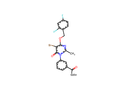 CNC(=O)c1cccc(-n2c(C)nc(OCc3ccc(F)cc3F)c(Br)c2=O)c1